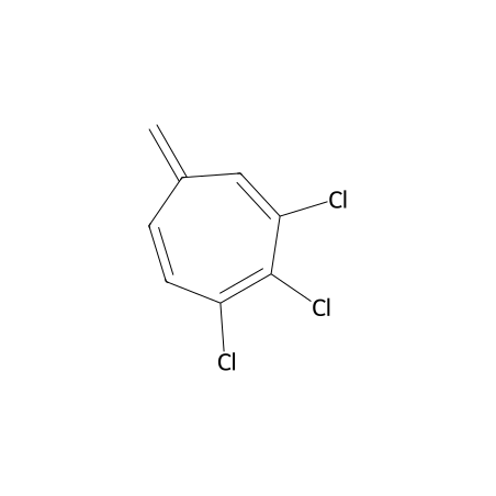 C=C1C=CC(Cl)=C(Cl)C(Cl)=C1